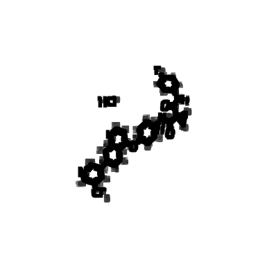 Cl.O=C(Nc1ccc(F)cc1)C1(C(=O)Nc2ccc(Oc3ccnc4cc(-c5cncc(C(F)(F)F)c5)ccc34)cc2)CC1